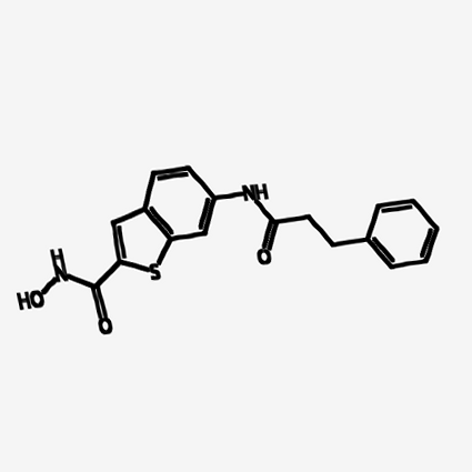 O=C(CCc1ccccc1)Nc1ccc2cc(C(=O)NO)sc2c1